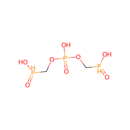 O=[PH](O)COP(=O)(O)OC[PH](=O)O